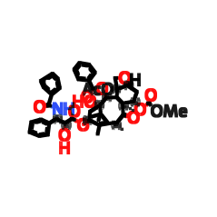 COC(=O)O[C@H]1C[C@H]2OC[C@@]2(OC(C)=O)C2[C@H](OC(=O)c3ccccc3)[C@]3(O)C[C@H](OC(=O)[C@H](O)[C@@H](NC(=O)c4ccccc4)c4ccccc4)C(C)=C([C@@H](C)C(=O)[C@@]21C)C3(C)C